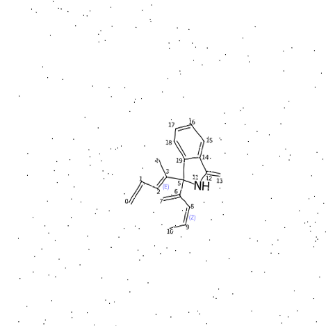 C=C/C=C(\C)C1(C(=C)/C=C\C)NC(=C)c2ccccc21